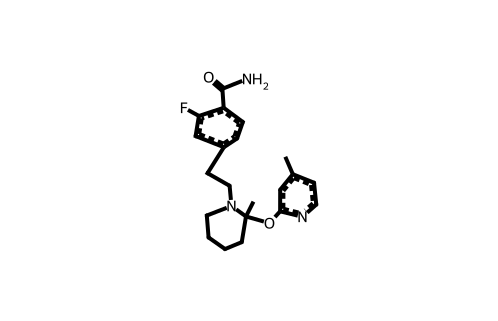 Cc1ccnc(OC2(C)CCCCN2CCc2ccc(C(N)=O)c(F)c2)c1